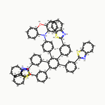 c1cc(-c2nc3ccccc3s2)cc(-c2cc(-c3cccc(-c4nc5ccccc5s4)c3)c(-c3cccc(-c4nc5ccccc5s4)c3)c(-c3ccc(N4c5ccccc5Oc5ccccc54)cc3)c2-c2cccc(-c3nc4ccccc4s3)c2)c1